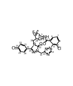 O=C(NCC(F)(F)F)c1cccc(Cl)c1-n1cnc(Cn2nc(-c3ccc(Cl)cc3)n(CC(O)C(F)(F)F)c2=O)n1